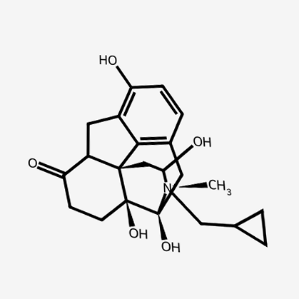 C[N@+]1(CC2CC2)C(O)C[C@]23c4c5ccc(O)c4CC2C(=O)CC[C@@]3(O)[C@@]1(O)C5